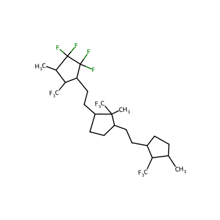 CC1CCC(CCC2CCC(CCC3C(C(F)(F)F)C(C)C(F)(F)C3(F)F)C2(C)C(F)(F)F)C1C(F)(F)F